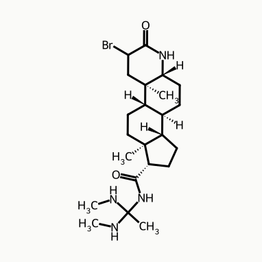 CNC(C)(NC)NC(=O)[C@H]1CC[C@H]2[C@@H]3CC[C@H]4NC(=O)C(Br)C[C@]4(C)[C@H]3CC[C@]12C